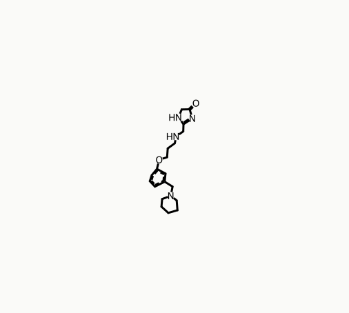 O=C1CNC(CNCCCOc2cccc(CN3CCCCC3)c2)=N1